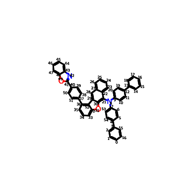 c1ccc(-c2ccc(N(c3ccc(-c4ccccc4)cc3)c3c4ccccc4cc4c3oc3cccc(-c5ccc(-c6nc7ccccc7o6)cc5)c34)cc2)cc1